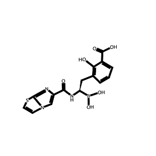 O=C(N[C@@H](Cc1cccc(C(=O)O)c1O)B(O)O)c1cn2ccsc2n1